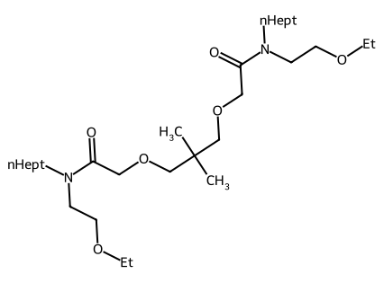 CCCCCCCN(CCOCC)C(=O)COCC(C)(C)COCC(=O)N(CCCCCCC)CCOCC